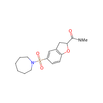 CNC(=O)C1Cc2cc(S(=O)(=O)N3CCCCCC3)ccc2O1